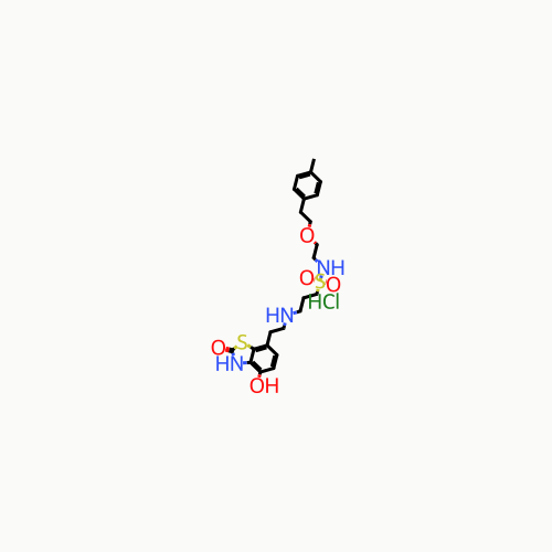 Cc1ccc(CCOCCNS(=O)(=O)CCCNCCc2ccc(O)c3[nH]c(=O)sc23)cc1.Cl